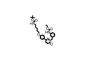 CCOC(=O)Nc1cccc(Cn2nc(-c3ccc(OCCCCCNC(=O)OC(C)(C)C)cc3)ccc2=O)c1